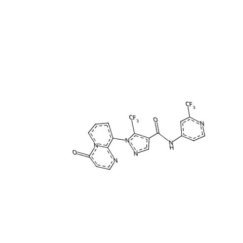 O=C(Nc1ccnc(C(F)(F)F)c1)c1cnn(-c2cccn3c(=O)ccnc23)c1C(F)(F)F